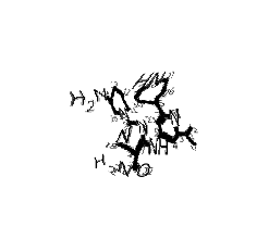 CC(C)c1cc(Nc2nc(N3CCCC(N)C3)ncc2C(N)=O)cc(C2CCNCC2)n1